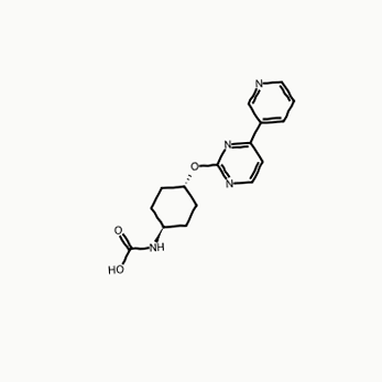 O=C(O)N[C@H]1CC[C@H](Oc2nccc(-c3cccnc3)n2)CC1